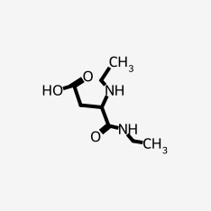 CCNC(=O)C(CC(=O)O)NCC